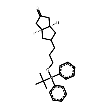 CC(C)(C)[Si](OCCCC1C[C@H]2CC(=O)C[C@H]2C1)(c1ccccc1)c1ccccc1